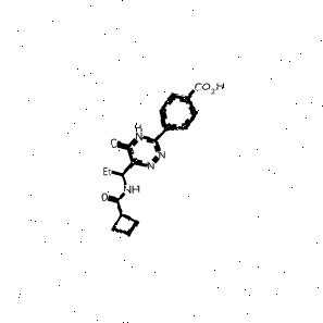 CCC(NC(=O)C1CCC1)c1nnc(-c2ccc(C(=O)O)cc2)[nH]c1=O